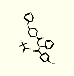 COc1ccc(C(=O)N(CC(=O)N2CCC(Oc3ccncc3)CC2)c2ccccc2)cc1.O=C(O)C(F)(F)F